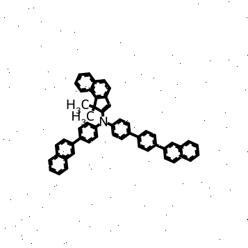 CC1(C)C(N(c2ccc(-c3ccc(-c4ccc5ccccc5c4)cc3)cc2)c2ccc(-c3ccc4ccccc4c3)cc2)=Cc2ccc3ccccc3c21